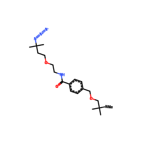 CNC(C)(C)COCc1ccc(C(=O)NCCOCCC(C)(C)N=[N+]=[N-])cc1